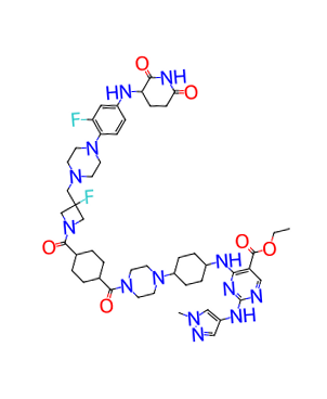 CCOC(=O)c1cnc(Nc2cnn(C)c2)nc1NC1CCC(N2CCN(C(=O)C3CCC(C(=O)N4CC(F)(CN5CCN(c6ccc(NC7CCC(=O)NC7=O)cc6F)CC5)C4)CC3)CC2)CC1